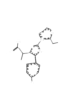 CCc1nccn1-c1nc(-c2ccc(Cl)cc2)c(C(C)C(=O)O)o1